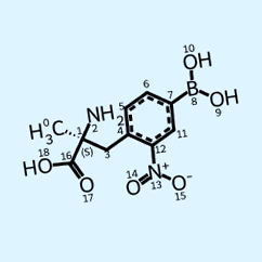 C[C@](N)(Cc1ccc(B(O)O)cc1[N+](=O)[O-])C(=O)O